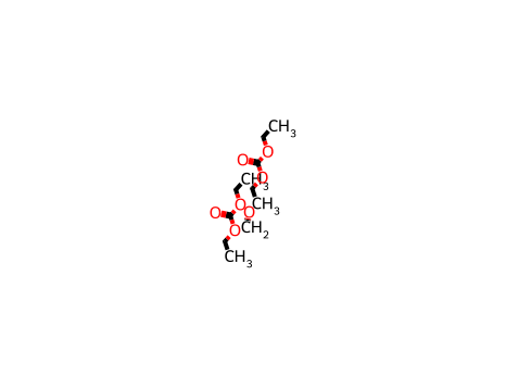 C=O.CCOC(=O)OCC.CCOC(=O)OCC